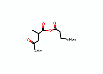 CCCCCCCCCCCC(=O)OC(=O)C(C)CC(=O)OC